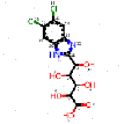 O=C(O)C(O)[C@H](O)C(O)C(O)c1nc2cc(Cl)c(Cl)cc2[nH]1